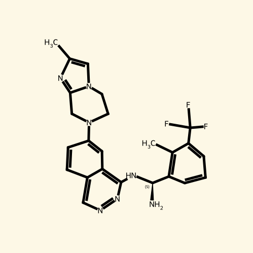 Cc1cn2c(n1)CN(c1ccc3cnnc(N[C@H](N)c4cccc(C(F)(F)F)c4C)c3c1)CC2